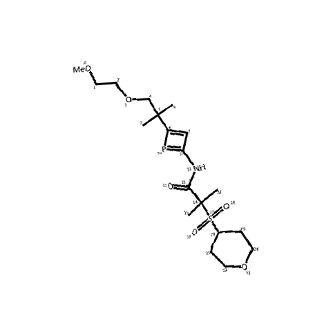 COCCOCC(C)(C)C1=CC(NC(=O)C(C)(C)S(=O)(=O)C2CCOCC2)=P1